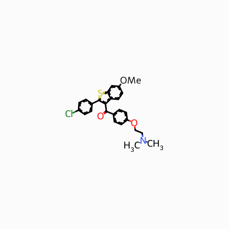 COc1ccc2c(C(=O)c3ccc(OCCN(C)C)cc3)c(-c3ccc(Cl)cc3)sc2c1